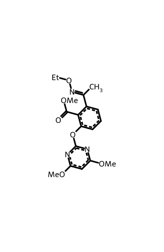 CCON=C(C)c1cccc(Oc2nc(OC)cc(OC)n2)c1C(=O)OC